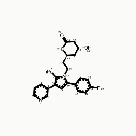 CC(C)c1c(-c2cccnc2)cc(-c2ccc(F)cc2)n1CC[C@@H]1C[C@@H](O)CC(=O)O1